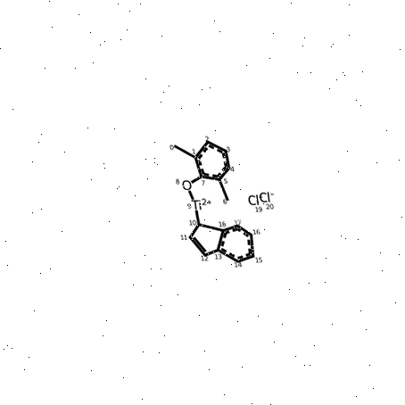 Cc1cccc(C)c1[O][Ti+2][CH]1C=Cc2ccccc21.[Cl-].[Cl-]